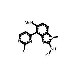 CNc1ccc2c(nc(NC(C)C)n2C)c1-c1ccnc(Cl)n1